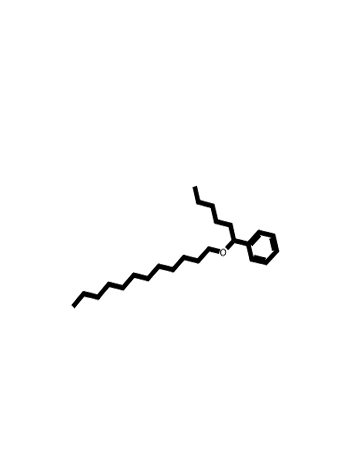 CCCCCCCCCCCCOC(CCCCC)c1ccccc1